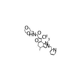 CC1Cc2oc(C(=O)NC[C@@H]3COCCO3)c(C(F)(F)F)c2-c2nn(Cc3ccccn3)cc21